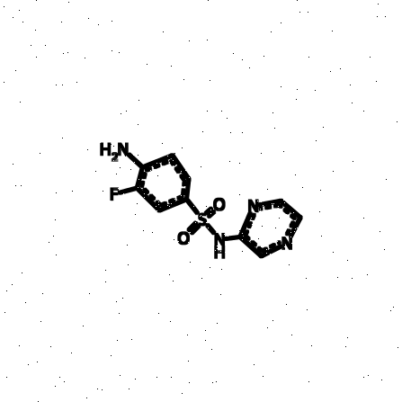 Nc1ccc(S(=O)(=O)Nc2cnccn2)cc1F